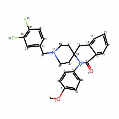 COc1ccc(N2C(=O)c3ccccc3CC23CCN(Cc2ccc(F)c(F)c2)CC3)cc1